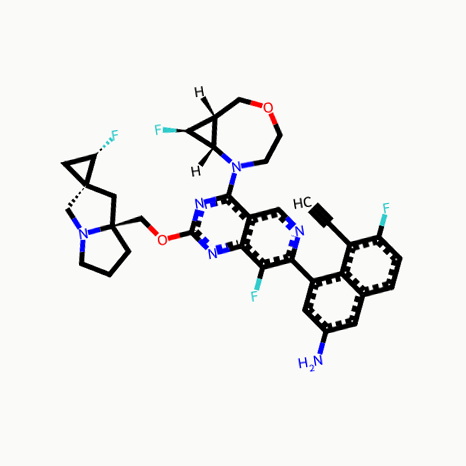 C#Cc1c(F)ccc2cc(N)cc(-c3ncc4c(N5CCOC[C@H]6[C@H](F)[C@H]65)nc(OC[C@@]56CCCN5C[C@@]5(C[C@@H]5F)C6)nc4c3F)c12